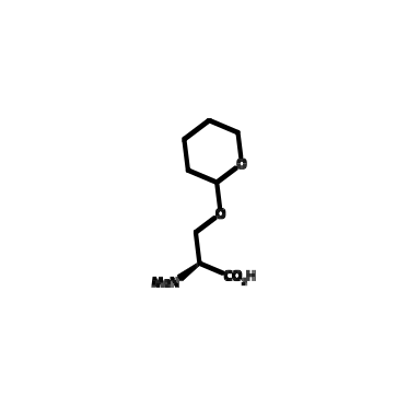 CN[C@@H](COC1CCCCO1)C(=O)O